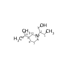 CCC(CO)N1CCCC(C(C)C)C1